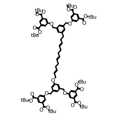 CC(C)(C)OC(=O)c1cc(OCc2cc(CCC=CCCC=CCCC=CCOc3cc(COc4cc(C(=O)OC(C)(C)C)cc(C(=O)OC(C)(C)C)c4)cc(COc4cc(C(=O)OC(C)(C)C)cc(C(=O)OC(C)(C)C)c4)c3)cc(COc3cc(C(=O)OC(C)(C)C)cc(C(=O)OC(C)(C)C)c3)c2)cc(C(=O)OC(C)(C)C)c1